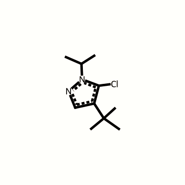 CC(C)n1ncc(C(C)(C)C)c1Cl